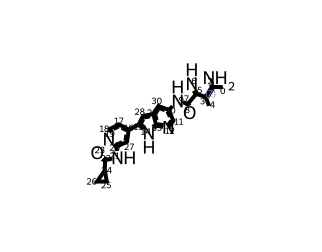 C/C(N)=C(\C)C(=N)C(=O)Nc1cnc2[nH]c(-c3ccnc(NC(=O)C4CC4)c3)cc2c1